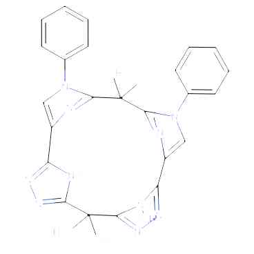 Cn1c2nnc1C(C)(C)c1nnc([nH]1)-c1cn(-c3ccccc3)c(n1)C(C)(C)c1nc-2cn1-c1ccccc1